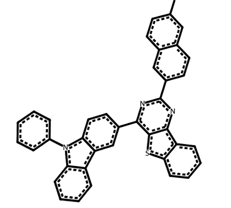 Clc1ccc2cc(-c3nc(-c4ccc5c(c4)c4ccccc4n5-c4ccccc4)c4sc5ccccc5c4n3)ccc2c1